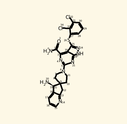 NC(=O)c1nc(N2CCC3(CC2)Cc2ncccc2[C@H]3N)nc2[nH]nc(Sc3cccc(Cl)c3Cl)c12